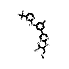 COCC(Nc1ncc(-c2cc(C)cc(Nc3nccc(C(F)(F)F)n3)c2)cn1)C(=O)O